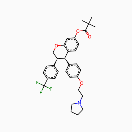 CC(C)(C)C(=O)Oc1ccc2c(c1)OC[C@H](c1ccc(C(F)(F)F)cc1)[C@@H]2c1ccc(OCCN2CCCC2)cc1